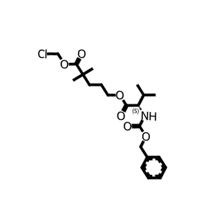 CC(C)[C@H](NC(=O)OCc1ccccc1)C(=O)OCCCC(C)(C)C(=O)OCCl